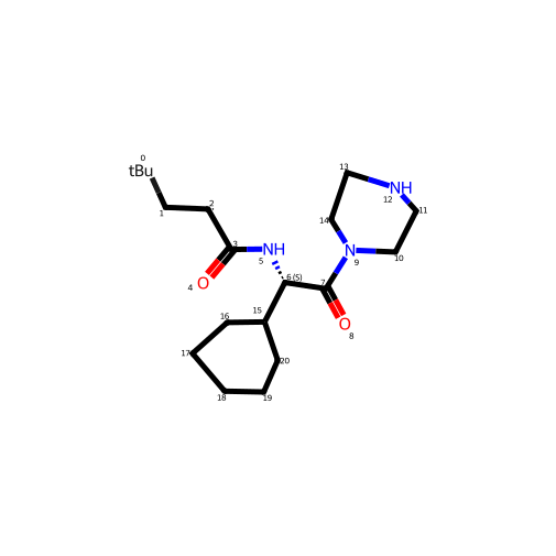 CC(C)(C)C[CH]C(=O)N[C@H](C(=O)N1CCNCC1)C1CCCCC1